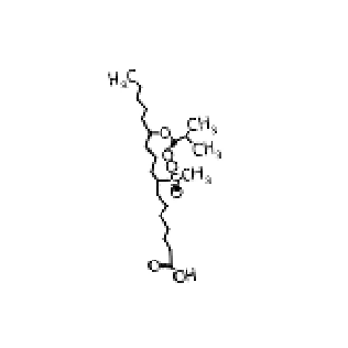 CCCCCC(CCCC(CCCCCCC(=O)O)S(C)(=O)=O)OC(=O)C(C)C